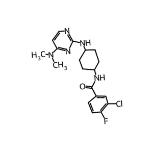 CN(C)c1ccnc(NC2CCC(NC(=O)c3ccc(F)c(Cl)c3)CC2)n1